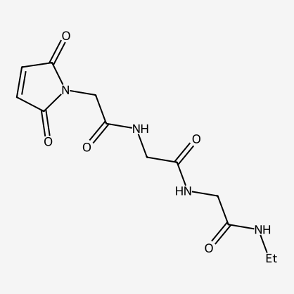 CCNC(=O)CNC(=O)CNC(=O)CN1C(=O)C=CC1=O